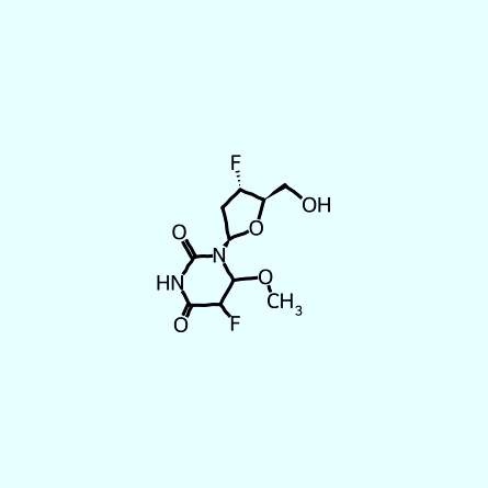 COC1C(F)C(=O)NC(=O)N1[C@H]1C[C@H](F)[C@@H](CO)O1